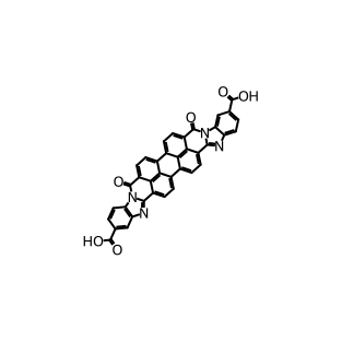 O=C(O)c1ccc2c(c1)nc1c3ccc4c5ccc6c7c(ccc(c8ccc(c(=O)n21)c3c84)c57)c(=O)n1c2cc(C(=O)O)ccc2nc61